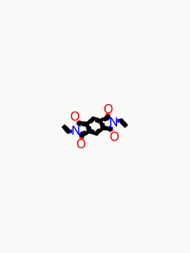 C=Cn1c(=O)c2cc3c(=O)n(C=C)c(=O)c3cc2c1=O